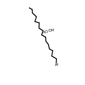 CCCCCCCCCCCCCCC[CH2][Al].Cl.Cl